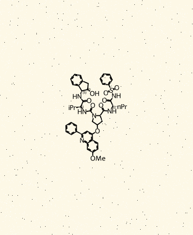 CCC[C@H](NC(=O)C1CC(Oc2cc(-c3ccccc3)nc3cc(OC)ccc23)CN1C(=O)N[C@H](C(=O)N[C@H]1c2ccccc2C[C@H]1O)C(C)C)C(=O)NS(=O)(=O)c1ccccc1